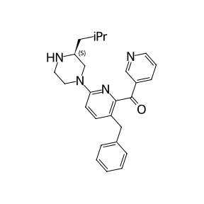 CC(C)C[C@H]1CN(c2ccc(Cc3ccccc3)c(C(=O)c3cccnc3)n2)CCN1